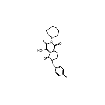 O=C1c2c(O)c(=O)n(N3CCCCCC3)c(=O)n2CCN1Cc1ccc(F)cc1